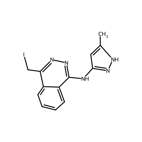 Cc1cc(Nc2nnc(CI)c3ccccc23)n[nH]1